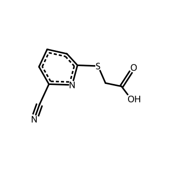 N#Cc1cccc(SCC(=O)O)n1